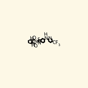 O=C1[C@@H]2C3C=CC(C3)[C@@H]2C(=O)N1c1nc2ccc(Nc3ccc(C(F)(F)F)cn3)cc2s1